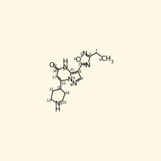 CCc1noc(-c2cnn3c(C4CCNCC4)cc(=O)[nH]c23)n1